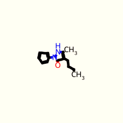 CCCCc1c(C)[nH]n(-c2ccccc2)c1=O